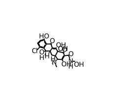 CN(C)[C@@H]1C(O)=C(C(=O)NCO)C(=O)[C@@]2(O)C(O)=C3C(=O)c4c(O)ccc(Cl)c4[C@@](C)(O)[C@H]3C[C@H]12